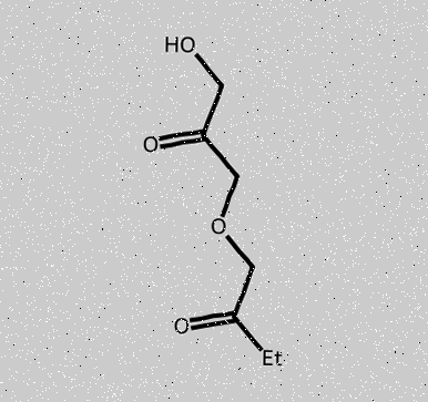 CCC(=O)COCC(=O)CO